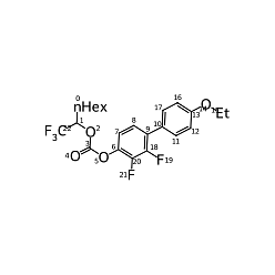 CCCCCCC(OC(=O)Oc1ccc(-c2ccc(OCC)cc2)c(F)c1F)C(F)(F)F